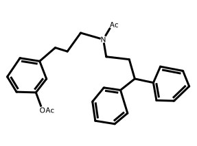 CC(=O)Oc1cccc(CCCN(CCC(c2ccccc2)c2ccccc2)C(C)=O)c1